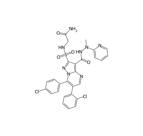 CN(NC(=O)c1c(S(=O)(=O)NCC(N)=O)nn2c(-c3ccc(Cl)cc3)c(-c3ccccc3Cl)cnc12)c1ccccn1